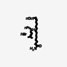 Br.CCCCCCCC/C=C\CCCCCCCCCCCC(N)=O.CCCNCC=C(C)C